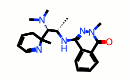 C[C@H](Nc1nn(C)c(=O)c2ccccc12)[C@@H](N(C)C)C1(C)CC=CC=N1